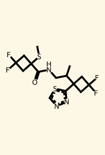 CSC1(C(=O)NCC(C)C2(c3nncs3)CC(F)(F)C2)CC(F)(F)C1